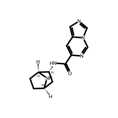 O=C(N[C@@H]1C[C@H]2CC[C@@H]1N2)c1cc2cncn2cn1